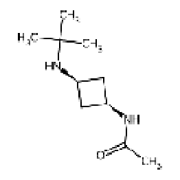 CC(=O)N[C@H]1C[C@@H](NC(C)(C)C)C1